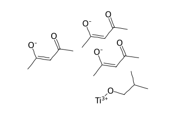 CC(=O)/C=C(/C)[O-].CC(=O)/C=C(/C)[O-].CC(=O)/C=C(/C)[O-].CC(C)C[O][Ti+3]